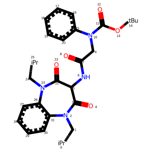 CC(C)CN1C(=O)C(NC(=O)CN(C(=O)OC(C)(C)C)c2ccccc2)C(=O)N(CC(C)C)c2ccccc21